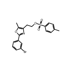 Cc1ccc(S(=O)(=O)OCCc2nc(-c3cccc(Br)c3)oc2C)cc1